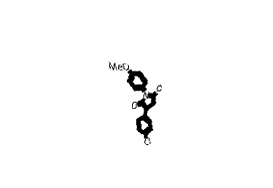 COc1ccc(N2C(=O)CC(c3ccc(Cl)cc3)C2=O)cc1